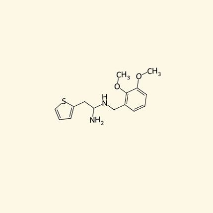 COc1cccc(CNC(N)Cc2cccs2)c1OC